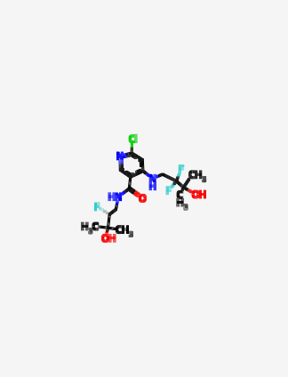 CC(C)(O)[C@H](F)CNC(=O)c1cnc(Cl)cc1NCC(F)(F)C(C)(C)O